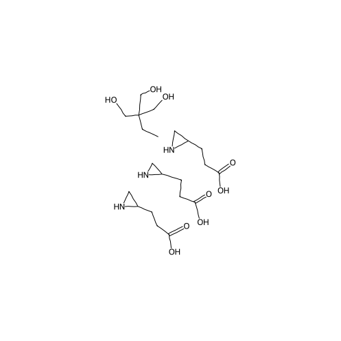 CCC(CO)(CO)CO.O=C(O)CCC1CN1.O=C(O)CCC1CN1.O=C(O)CCC1CN1